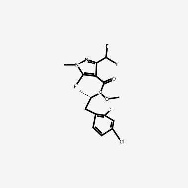 CON(C(=O)c1c(C(F)F)nn(C)c1F)[C@@H](C)Cc1ccc(Cl)cc1Cl